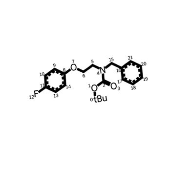 CC(C)(C)OC(=O)N(CCOc1ccc(F)cc1)Cc1ccccc1